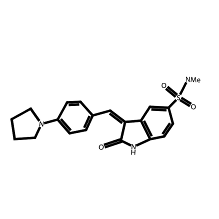 CNS(=O)(=O)c1ccc2c(c1)C(=Cc1ccc(N3CCCC3)cc1)C(=O)N2